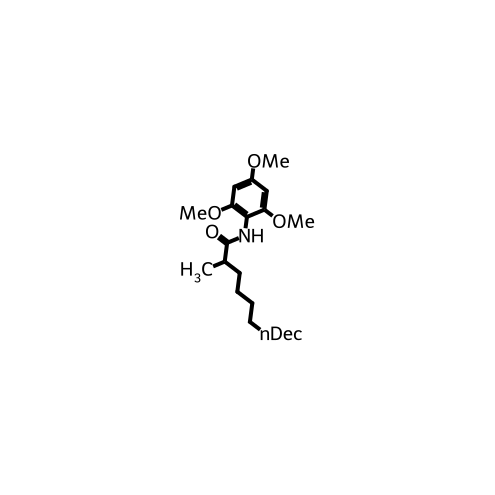 CCCCCCCCCCCCCCC(C)C(=O)Nc1c(OC)cc(OC)cc1OC